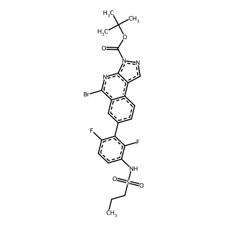 CCCS(=O)(=O)Nc1ccc(F)c(-c2ccc3c(c2)c(Br)nc2c3cnn2C(=O)OC(C)(C)C)c1F